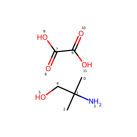 CC(C)(N)CO.O=C(O)C(=O)O